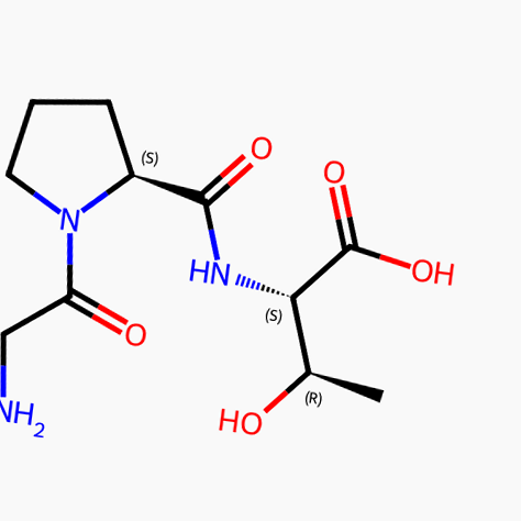 C[C@@H](O)[C@H](NC(=O)[C@@H]1CCCN1C(=O)CN)C(=O)O